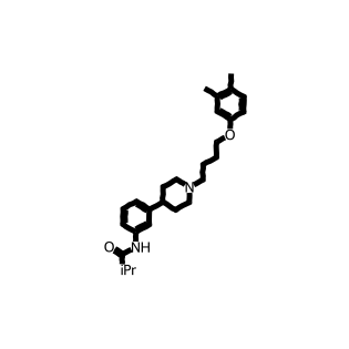 Cc1ccc(OCCCCN2CCC(c3cccc(NC(=O)C(C)C)c3)CC2)cc1C